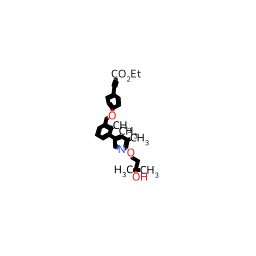 CCOC(=O)C#Cc1ccc(OCc2cccc(-c3cnc(OCCC(C)(C)O)c(C)c3C)c2C)cc1